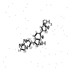 Cn1cc(-c2ccc3c(-c4cnc5nccn5c4)c[nH]c3n2)cn1